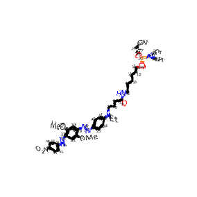 CCN(CCCC(=O)NCCCCCCOP(OCCC#N)N(C(C)C)C(C)C)c1ccc(N=Nc2cc(OC)c(N=Nc3ccc([N+](=O)[O-])cc3)cc2OC)cc1